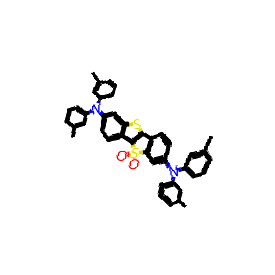 Cc1cccc(N(c2cccc(C)c2)c2ccc3c(c2)S(=O)(=O)c2c-3sc3cc(N(c4cccc(C)c4)c4cccc(C)c4)ccc23)c1